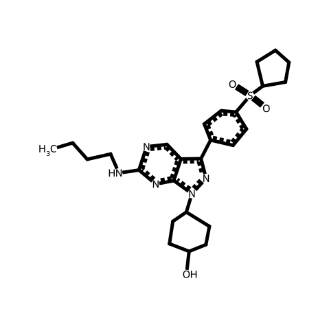 CCCCNc1ncc2c(-c3ccc(S(=O)(=O)C4CCCC4)cc3)nn(C3CCC(O)CC3)c2n1